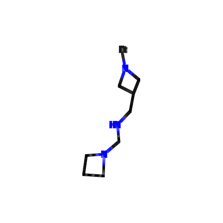 CCN1CC(CNCN2CCC2)C1